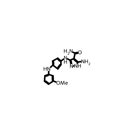 COc1cccc(Nc2ccc(Nc3n[nH]c(N)c3C(N)=O)cc2)c1